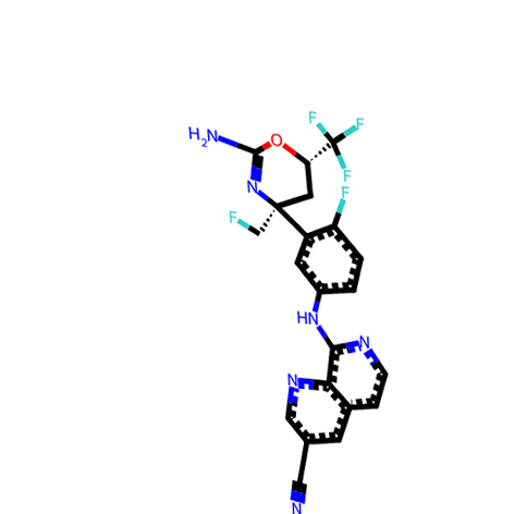 N#Cc1cnc2c(Nc3ccc(F)c([C@]4(CF)C[C@@H](C(F)(F)F)OC(N)=N4)c3)nccc2c1